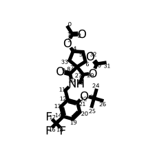 CC(=O)OC1CCC(C(=O)NCc2cc(C(F)(F)F)ccc2OC(C)(C)C)(C(C)OC(C)=O)C1